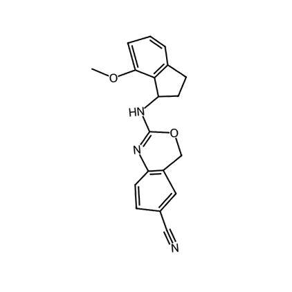 COc1cccc2c1C(NC1=Nc3ccc(C#N)cc3CO1)CC2